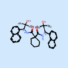 CCCCC(O)(CCCC)[C@@H](NC(=O)C1(C(=O)N[C@@H](c2cccc3ccccc23)C(O)(CCCC)CCCC)CCCCC1)c1cccc2ccccc12